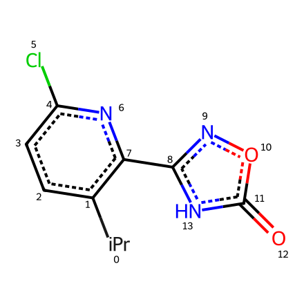 CC(C)c1ccc(Cl)nc1-c1noc(=O)[nH]1